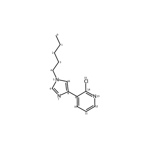 CCCCCn1cnc(-c2cccnc2Cl)c1